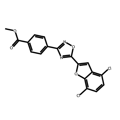 COC(=O)c1ccc(-c2noc(-c3cc4c(Cl)ccc(Cl)c4o3)n2)cc1